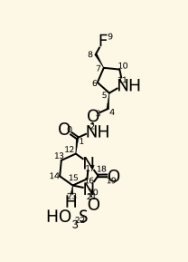 O=C(NOC[C@H]1C[C@@H](CF)CN1)[C@@H]1CC[C@@H]2CN1C(=O)N2OS(=O)(=O)O